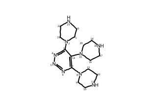 C1CN(c2nnnc(N3CCNCC3)c2N2CCNCC2)CCN1